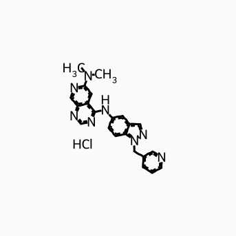 CN(C)c1cc2c(Nc3ccc4c(cnn4Cc4cccnc4)c3)ncnc2cn1.Cl